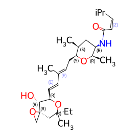 CC[C@]1(C)C[C@@]2(CO2)[C@H](O)[C@@H](/C=C/C(C)=C/C[C@@H]2O[C@H](C)[C@H](NC(=O)/C=C\C(C)C)C[C@@H]2C)O1